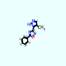 Cc1cn[nH]c1-c1noc(-c2ccccc2)n1